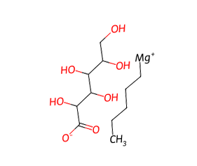 CCCC[CH2][Mg+].O=C([O-])C(O)C(O)C(O)C(O)CO